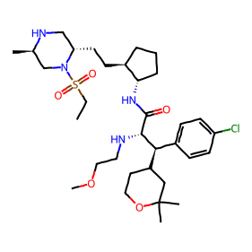 CCS(=O)(=O)N1C[C@@H](C)NC[C@@H]1CC[C@H]1CCC[C@@H]1NC(=O)[C@@H](NCCOC)[C@@H](c1ccc(Cl)cc1)C1CCOC(C)(C)C1